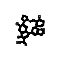 O=C(O)c1cn(-c2cnc3[nH]ncc3c2)c2cc(N3CCC[C@@H]3COc3ncccc3Cl)c(Cl)cc2c1=O